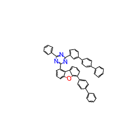 c1ccc(-c2ccc(-c3cccc(-c4nc(-c5ccccc5)nc(-c5cccc6oc7c(-c8ccc(-c9ccccc9)cc8)cccc7c56)n4)c3)cc2)cc1